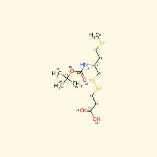 CSCCC(CSSCCC(=O)O)NC(=O)OC(C)(C)C